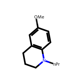 CCCN1CCCc2cc(OC)ccc21